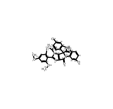 COc1cc(F)c(-c2nc3c(n2C(C)C)C2(C(=O)Nc4cc(Cl)ccc42)N(c2cc(Cl)ccc2C)C3=O)c(OC)c1